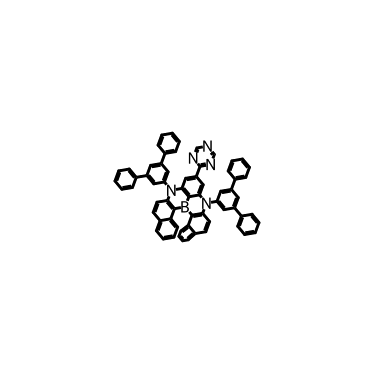 c1ccc(-c2cc(-c3ccccc3)cc(N3c4cc(-c5ncncn5)cc5c4B(c4c3ccc3ccccc43)c3c(ccc4ccccc34)N5c3cc(-c4ccccc4)cc(-c4ccccc4)c3)c2)cc1